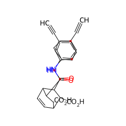 C#Cc1ccc(NC(=O)C2C3C=CC(C2C(=O)O)C(C(=O)O)C3C(=O)Nc2cccc(C#C)c2)cc1